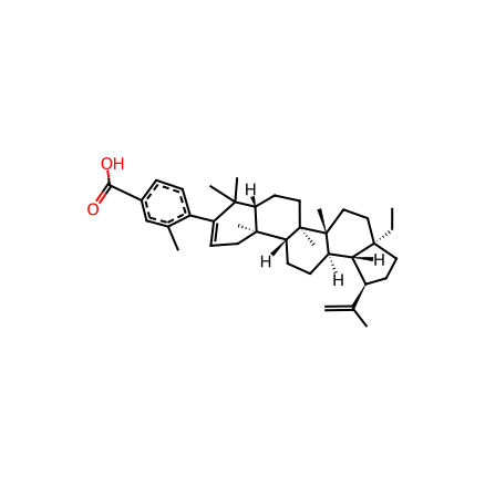 C=C(C)[C@@H]1CC[C@]2(CC)CC[C@]3(C)[C@H](CC[C@@H]4[C@@]5(C)CC=C(c6ccc(C(=O)O)cc6C)C(C)(C)[C@@H]5CC[C@]43C)[C@@H]12